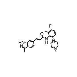 Cc1c(F)ccc(N2CCN(C)CC2)c1NC(=O)/C=C/c1ccc2c(C)n[nH]c2c1